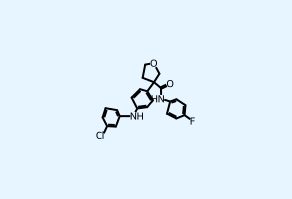 O=C(Nc1ccc(F)cc1)C1(c2ccc(Nc3cccc(Cl)c3)cc2)CCOC1